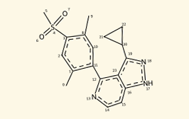 Cc1cc(S(C)(=O)=O)c(C)cc1-c1nccc2[nH]nc(C3CC3)c12